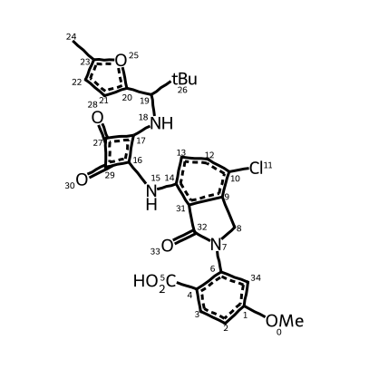 COc1ccc(C(=O)O)c(N2Cc3c(Cl)ccc(Nc4c(NC(c5ccc(C)o5)C(C)(C)C)c(=O)c4=O)c3C2=O)c1